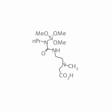 CCCN(C(=O)NCCN(C)CC(=O)O)[Si](OC)(OC)OC